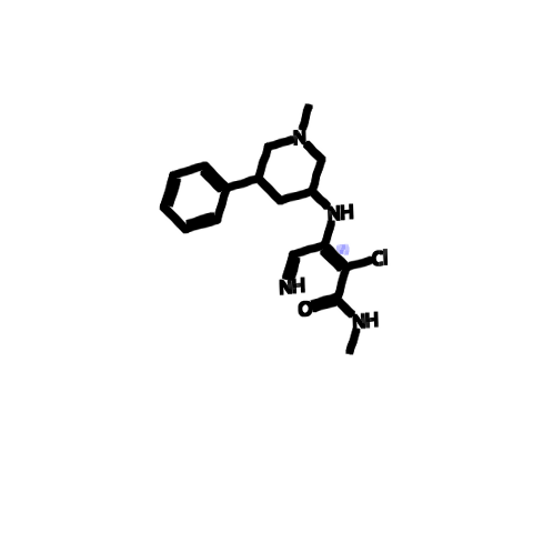 CNC(=O)/C(Cl)=C(\C=N)NC1CC(c2ccccc2)CN(C)C1